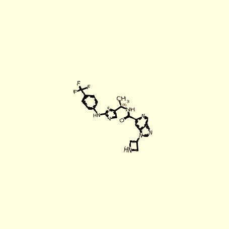 C[C@@H](NC(=O)c1cc2c(cn1)ncn2C1CNC1)c1cnc(Nc2ccc(C(F)(F)F)cc2)s1